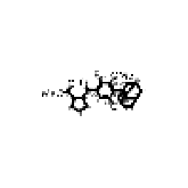 COC(=O)C1CCCC1C(=O)c1cc(Cl)c(C23CC4CC(CC(C4)C2)C3)c(OC)c1F